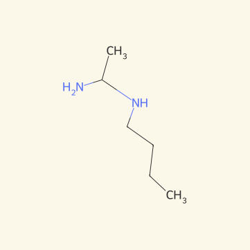 CCCCNC(C)N